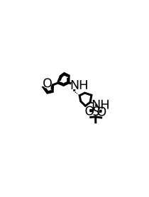 CC(C)(C)S(=O)(=O)N[C@H]1CC[C@H](CNc2cccc(-c3ccco3)c2)CC1